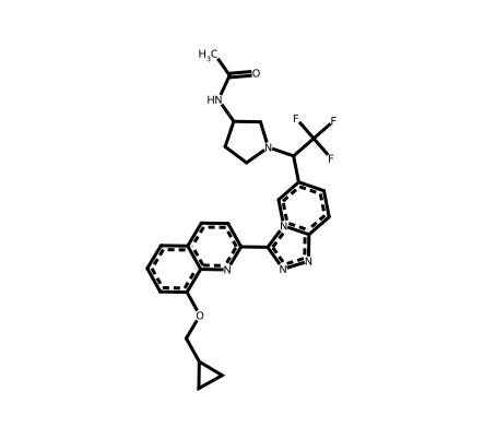 CC(=O)NC1CCN(C(c2ccc3nnc(-c4ccc5cccc(OCC6CC6)c5n4)n3c2)C(F)(F)F)C1